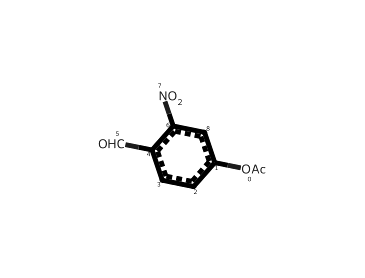 CC(=O)Oc1ccc(C=O)c([N+](=O)[O-])c1